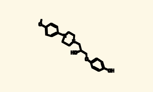 COc1ccc(N2CCN(C[C@H](O)COc3ccc(O)cc3)CC2)cc1